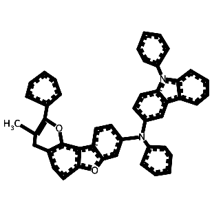 CC1=C(c2ccccc2)Oc2c(ccc3oc4cc(N(c5ccccc5)c5ccc6c(c5)c5ccccc5n6-c5ccccc5)ccc4c23)C1